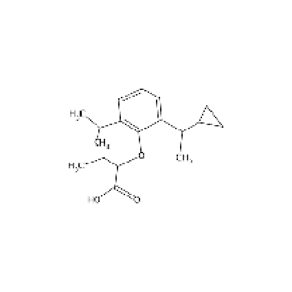 CCC(Oc1c(C(C)C)cccc1C(C)C1CC1)C(=O)O